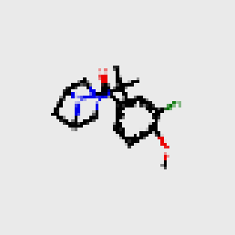 COc1ccc(C(=O)N2C3CC2CN(C(C)(C)C)C3)cc1Cl